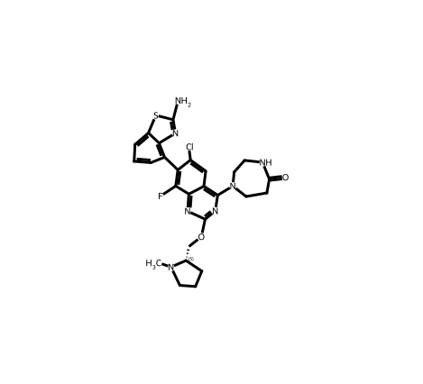 CN1CCC[C@H]1COc1nc(N2CCNC(=O)CC2)c2cc(Cl)c(-c3cccc4sc(N)nc34)c(F)c2n1